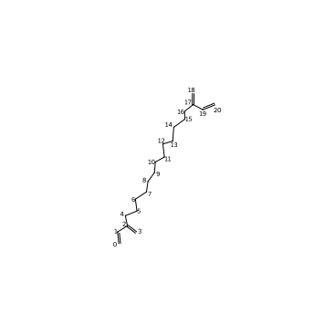 C=CC(=C)CCCCCCCCCCCCCC(=C)C=C